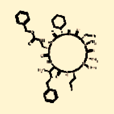 CCCCCCN1C[C@@H](CCF)NC(=O)[C@H]([C@H](C)OCc2ccccc2)NC(=O)[C@H](CNC(=O)OCc2ccccc2)NC(=O)[C@H](C2CCCCC2)NC(=O)[C@H](CC(C)C)N(C)C(=O)[C@@H]1C